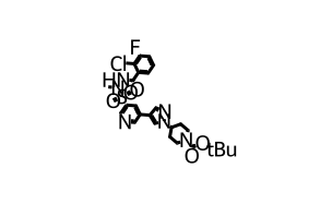 CN(NC(=O)c1cccc(F)c1Cl)S(=O)(=O)c1cncc(-c2cnn(C3CCN(C(=O)OC(C)(C)C)CC3)c2)c1